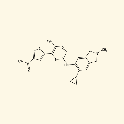 CN1Cc2cc(Nc3ncc(C(F)(F)F)c(-c4cc(C(N)=O)cs4)n3)c(C3CC3)cc2C1